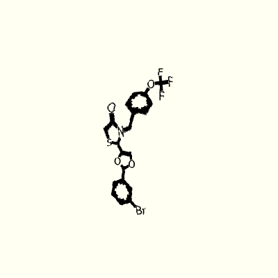 O=C1CSC(C2=COC(c3cccc(Br)c3)O2)N1Cc1ccc(OC(F)(F)F)cc1